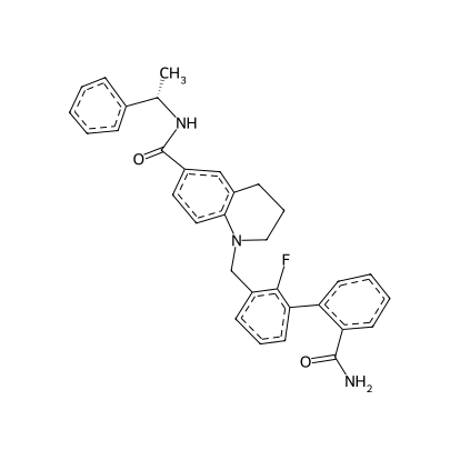 C[C@H](NC(=O)c1ccc2c(c1)CCCN2Cc1cccc(-c2ccccc2C(N)=O)c1F)c1ccccc1